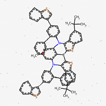 Cc1cc2c3c(c1)N(c1ccc(-c4csc5ccccc45)cc1-c1ccccc1)c1c(sc4ccc(C(C)(C)C)cc14)B3c1sc3ccc(C(C)(C)C)cc3c1N2c1ccc(-c2csc3ccccc23)cc1-c1ccccc1